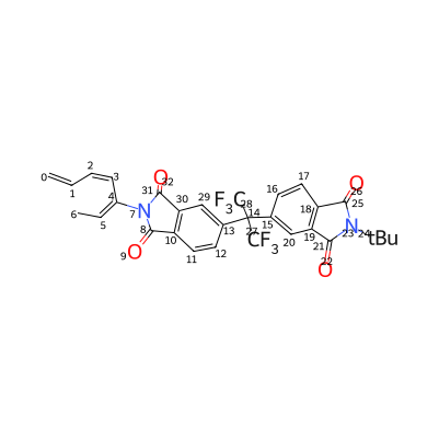 C=C/C=C\C(=C/C)N1C(=O)c2ccc(C(c3ccc4c(c3)C(=O)N(C(C)(C)C)C4=O)(C(F)(F)F)C(F)(F)F)cc2C1=O